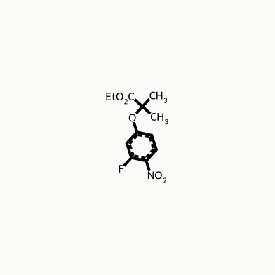 CCOC(=O)C(C)(C)Oc1ccc([N+](=O)[O-])c(F)c1